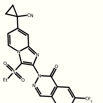 CCS(=O)(=O)c1c(-n2ncc3ccc(C(F)(F)F)cc3c2=O)nc2cc(C3(C#N)CC3)ccn12